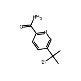 CCC(C)(C)c1ccc(C(N)=O)nc1